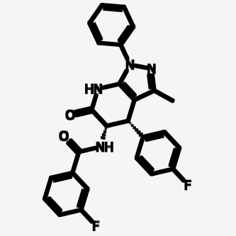 Cc1nn(-c2ccccc2)c2c1[C@H](c1ccc(F)cc1)[C@H](NC(=O)c1cccc(F)c1)C(=O)N2